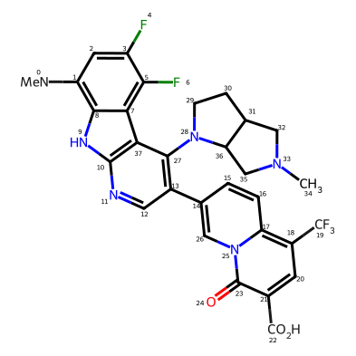 CNc1cc(F)c(F)c2c1[nH]c1ncc(-c3ccc4c(C(F)(F)F)cc(C(=O)O)c(=O)n4c3)c(N3CCC4CN(C)CC43)c12